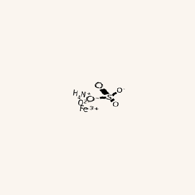 O=S(=O)([O-])[O-].[Fe+3].[NH4+].[O-2]